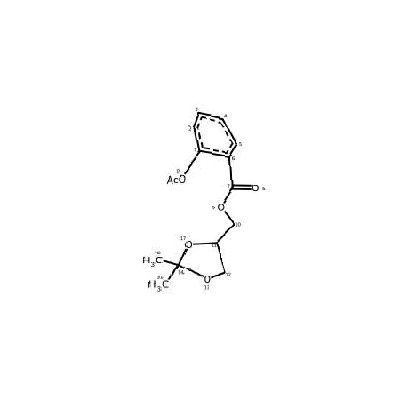 CC(=O)Oc1ccccc1C(=O)OCC1COC(C)(C)O1